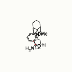 COC1(c2cccc(C(N)=O)c2)C2CCCC1CN(C1CC3CC[C@@H]3C1)C2